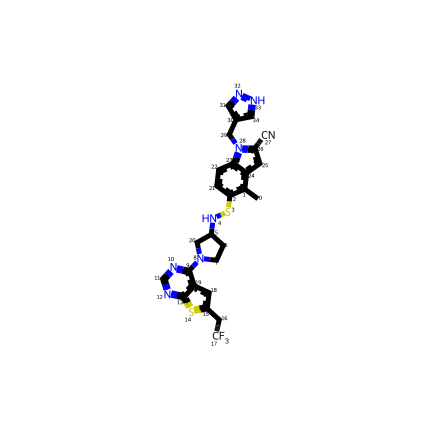 Cc1c(SNC2CCN(c3ncnc4sc(CC(F)(F)F)cc34)C2)ccc2c1cc(C#N)n2Cc1cn[nH]c1